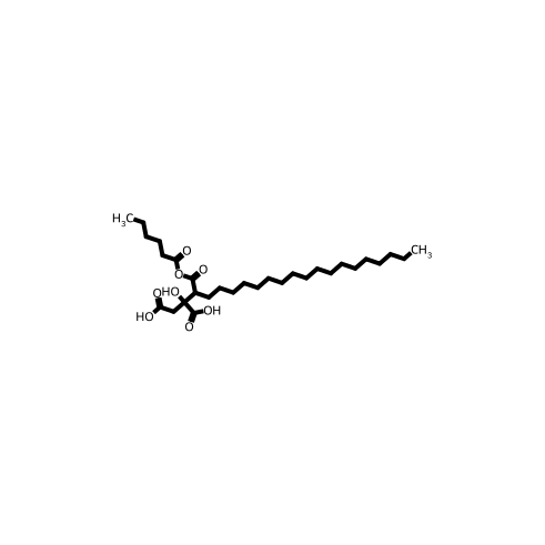 CCCCCCCCCCCCCCCCCCC(C(=O)OC(=O)CCCCC)C(O)(CC(=O)O)C(=O)O